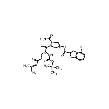 CC(C)=CC(=O)CC[C@H](NC(=O)OC(C)(C)C)C(=O)N1C[C@H](OC(=O)N2Cc3cccc(F)c3C2)CC1C(N)=O